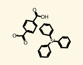 O=C([O-])c1ccc(C(=O)O)cc1.c1ccc([S+](c2ccccc2)c2ccccc2)cc1